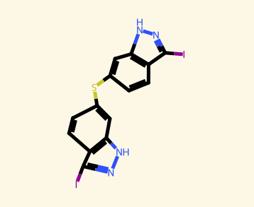 Ic1n[nH]c2cc(Sc3ccc4c(I)n[nH]c4c3)ccc12